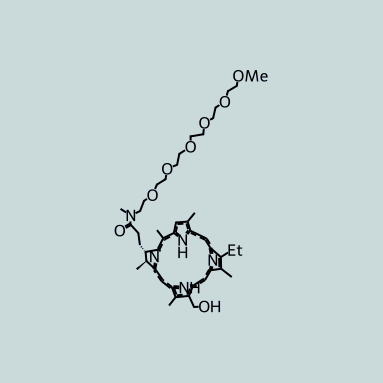 CCC1=C(C)c2cc3[nH]c(cc4nc(c(C)c5cc(C)c(cc1n2)[nH]5)[C@@H](CCC(=O)N(C)CCOCCOCCOCCOCCOCCOC)[C@@H]4C)c(C)c3CO